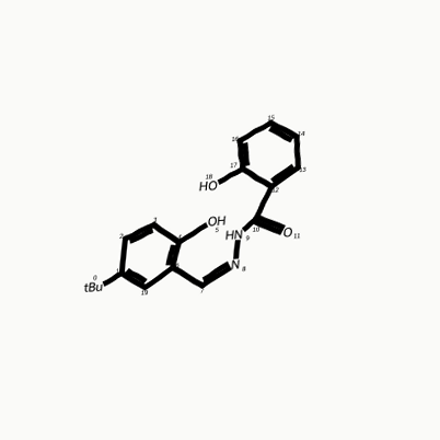 CC(C)(C)c1ccc(O)c(/C=N\NC(=O)c2ccccc2O)c1